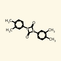 Cc1ccc(N2C(=O)N(c3ccc(C)c(C)c3)C2=O)cc1C